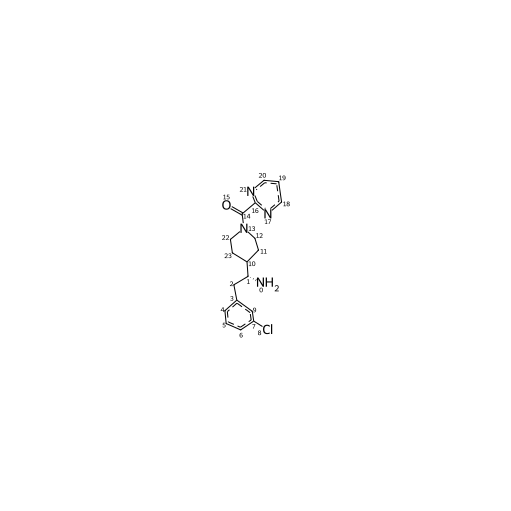 N[C@H](Cc1cccc(Cl)c1)C1CCN(C(=O)c2ncccn2)CC1